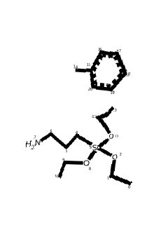 CCO[Si](CCCN)(OCC)OCC.Cc1ccccc1